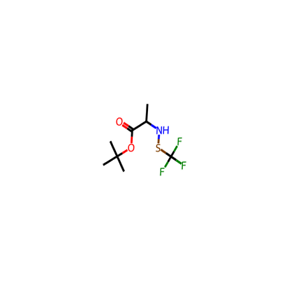 CC(NSC(F)(F)F)C(=O)OC(C)(C)C